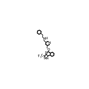 FC(F)(F)c1nnc2c3ccccc3c(OCc3cncc(CNCCc4ccccc4)c3)nn12